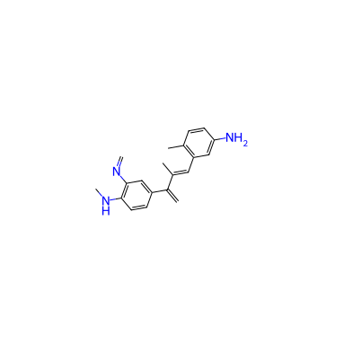 C=Nc1cc(C(=C)/C(C)=C/c2cc(N)ccc2C)ccc1NC